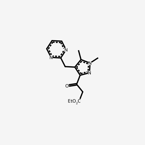 CCOC(=O)CC(=O)c1nn(C)c(C)c1Cc1ncccn1